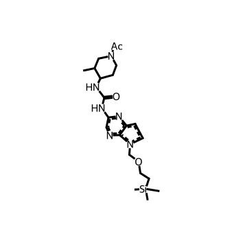 CC(=O)N1CCC(NC(=O)Nc2cnc3c(ccn3COCC[Si](C)(C)C)n2)C(C)C1